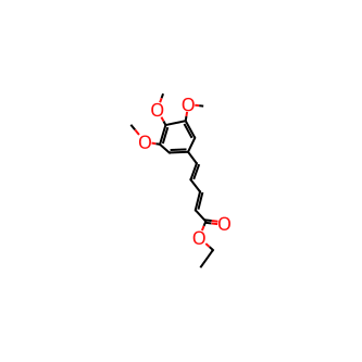 CCOC(=O)C=CC=Cc1cc(OC)c(OC)c(OC)c1